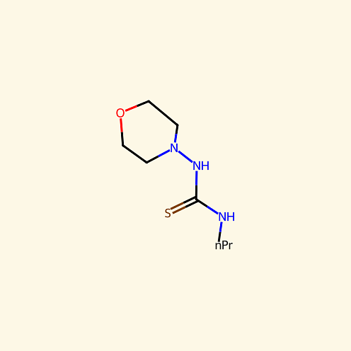 CCCNC(=S)NN1CCOCC1